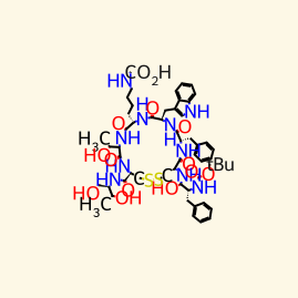 C[C@@H](O)C1NC(=O)[C@H](CCCCNC(=O)O)NC(=O)[C@@H](Cc2c[nH]c3ccccc23)NC(=O)[C@H](Cc2ccccc2)NC(=O)[C@@H](NC(O)[C@@H](Cc2ccccc2)NC(=O)OC(C)(C)C)CSSC[C@@H](C(=O)N[C@H](CO)[C@@H](C)O)NC1=O